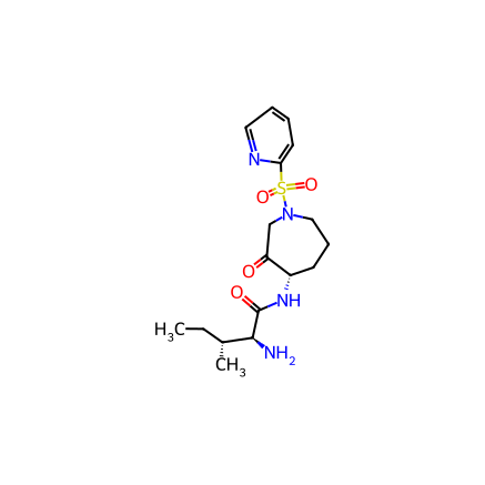 CC[C@@H](C)[C@H](N)C(=O)N[C@H]1CCCN(S(=O)(=O)c2ccccn2)CC1=O